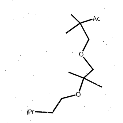 CC(=O)C(C)(C)COCC(C)(C)OCCC(C)C